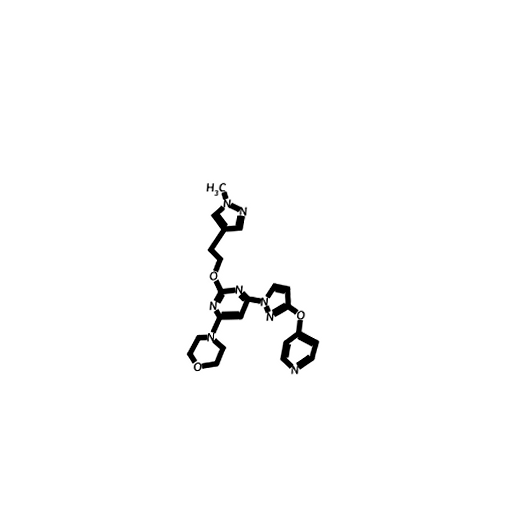 Cn1cc(CCOc2nc(N3CCOCC3)cc(-n3ccc(Oc4ccncc4)n3)n2)cn1